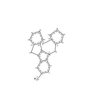 Cc1ccc2c(c1)c1c(n2Cc2ccccc2F)-c2ccccc2C1